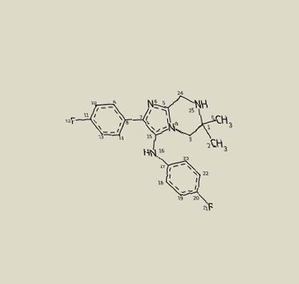 CC1(C)Cn2c(nc(-c3ccc(F)cc3)c2Nc2ccc(F)cc2)CN1